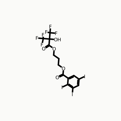 O=C(OCCCOC(=O)C(O)(C(F)(F)F)C(F)(F)F)c1cc(I)cc(I)c1I